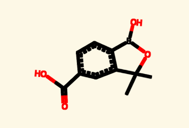 CC1(C)OB(O)c2ccc(C(=O)O)cc21